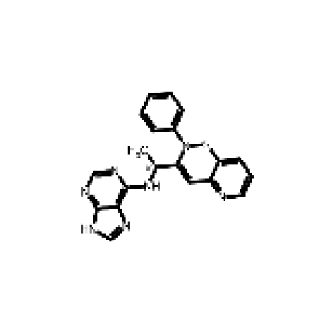 C[C@H](Nc1ncnc2[nH]cnc12)C1=Cc2ncccc2SN1c1ccccc1